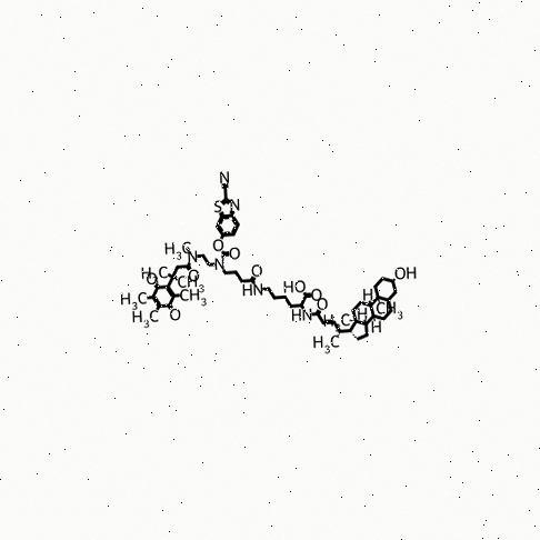 CC1=C(C)C(=O)C(C(C)(C)CC(=O)N(C)CCN(CCCC(=O)NCCCCC(NC(=O)CC[C@@H](C)[C@H]2CC[C@H]3[C@@H]4CCC5C[C@H](O)CC[C@]5(C)[C@H]4CC[C@]23C)C(=O)O)C(=O)Oc2ccc3nc(C#N)sc3c2)=C(C)C1=O